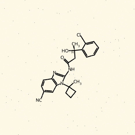 CC1(n2c(NC(=O)C[C@](C)(O)c3ccccc3Cl)nc3ccc(C#N)cc32)CCC1